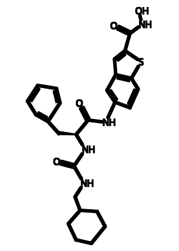 O=C(NCC1CCCCC1)N[C@@H](Cc1ccccc1)C(=O)Nc1ccc2sc(C(=O)NO)cc2c1